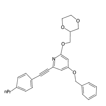 CCCc1ccc(C#Cc2cc(OCc3ccccc3)cc(OCC3COCCO3)n2)cc1